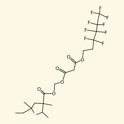 CCC(C)(C)CC(C)(C(=O)OCOC(=O)CC(=O)OCCC(F)(F)C(F)(F)C(F)(F)C(F)(F)F)C(C)C